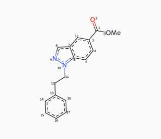 COC(=O)c1ccc2c(cnn2CCc2ccccc2)c1